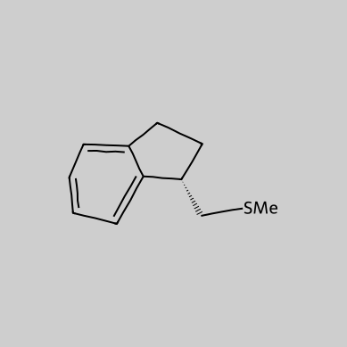 CSC[C@H]1CCc2ccccc21